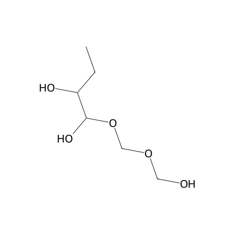 CCC(O)C(O)OCOCO